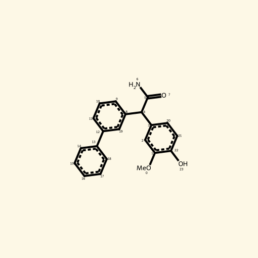 COc1cc(C(C(N)=O)c2cccc(-c3c[c]ccc3)c2)ccc1O